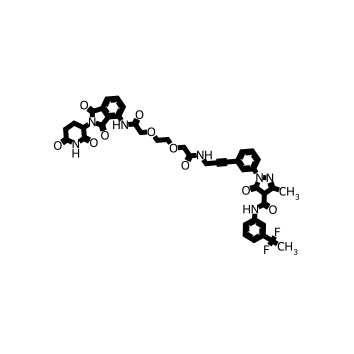 CC1=NN(c2cccc(C#CCNC(=O)COCCOCC(=O)Nc3cccc4c3C(=O)N(C3CCC(=O)NC3=O)C4=O)c2)C(=O)C1C(=O)Nc1cccc(C(C)(F)F)c1